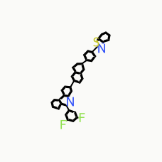 Fc1cc(F)cc(-c2nc3cc(-c4ccc5cc(-c6ccc(-c7nc8ccccc8s7)cc6)ccc5c4)ccc3c3ccccc23)c1